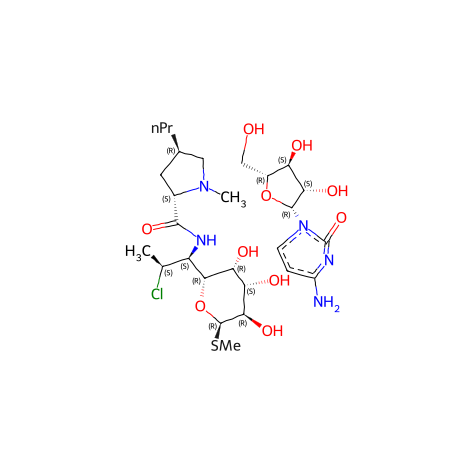 CCC[C@@H]1C[C@@H](C(=O)N[C@@H]([C@H]2O[C@H](SC)[C@H](O)[C@@H](O)[C@H]2O)[C@H](C)Cl)N(C)C1.Nc1ccn([C@@H]2O[C@H](CO)[C@@H](O)[C@@H]2O)c(=O)n1